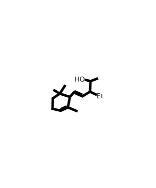 CCC(C=CC1C(C)=CCCC1(C)C)C(C)O